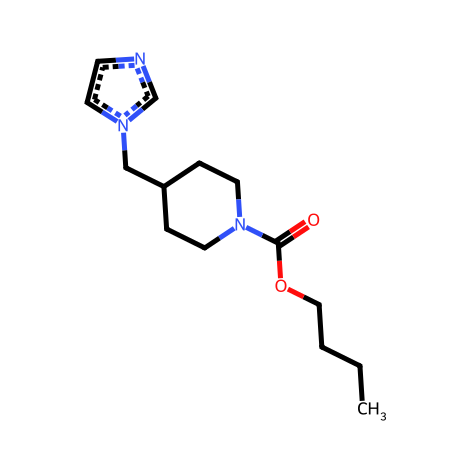 CCCCOC(=O)N1CCC(Cn2ccnc2)CC1